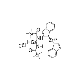 C1=C[CH]([Zr+2][CH]2C=Cc3ccccc32)c2ccccc21.C[Si](C)(C)C(=O)[NH][GaH][NH]C(=O)[Si](C)(C)C.[Cl-].[Cl-]